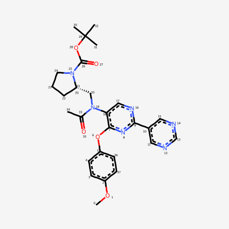 COc1ccc(Oc2nc(-c3cncnc3)ncc2N(C[C@@H]2CCCN2C(=O)OC(C)(C)C)C(C)=O)cc1